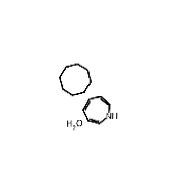 C1=CC=CNC=C1.C1CCCCCCC1.O